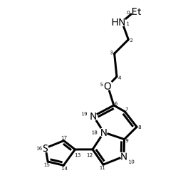 CCNCCCOc1ccc2ncc(-c3ccsc3)n2n1